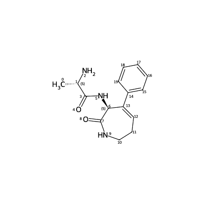 C[C@H](N)C(=O)N[C@@H]1C(=O)NCCC=C1c1ccccc1